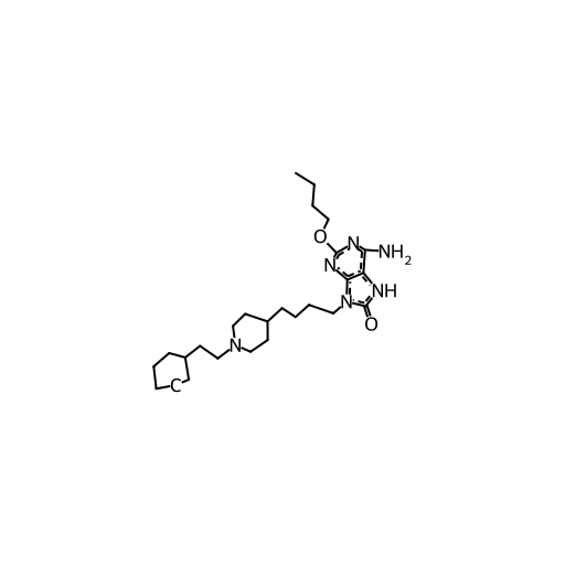 CCCCOc1nc(N)c2[nH]c(=O)n(CCCCC3CCN(CCC4CCCCC4)CC3)c2n1